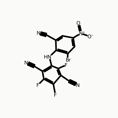 N#Cc1cc([N+](=O)[O-])cc(Br)c1Nc1c(F)c(C#N)c(F)c(F)c1C#N